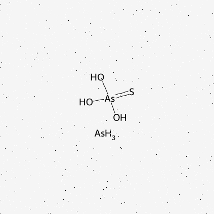 O[As](O)(O)=S.[AsH3]